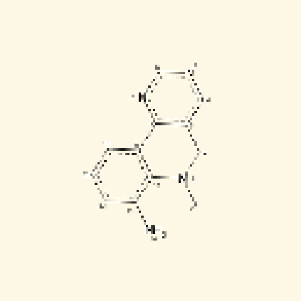 CN1Cc2cncnc2-c2cccc(N)c21